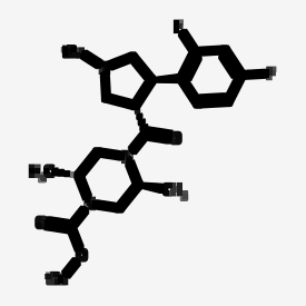 C[C@@H]1CN(C(=O)[C@@H]2CN(C(C)(C)C)C[C@H]2c2ccc(F)cc2F)[C@@H](C)CN1C(=O)OC(C)(C)C